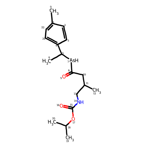 Cc1ccc(C(C)[AsH]C(=O)CC(C)CNC(=O)OC(C)C)cc1